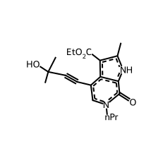 CCCn1cc(C#CC(C)(C)O)c2c(C(=O)OCC)c(C)[nH]c2c1=O